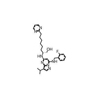 CC(C)c1cnn2c(NCc3ccccc3F)cc(N[C@@H](CO)CCCCCCc3ncccn3)nc12